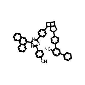 N#Cc1ccc(-c2nc(-c3ccc(C4CC5CC6CC(c7ccc(-c8cc(-c9ccccc9)ccc8C#N)cc7)CC654)cc3)nc(-c3cc4ccccc4c4ccccc34)n2)cc1